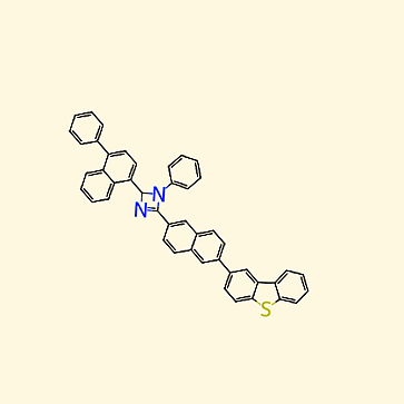 c1ccc(-c2ccc(C3N=C(c4ccc5cc(-c6ccc7sc8ccccc8c7c6)ccc5c4)N3c3ccccc3)c3ccccc23)cc1